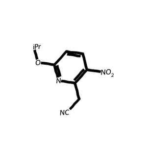 CC(C)Oc1ccc([N+](=O)[O-])c(CC#N)n1